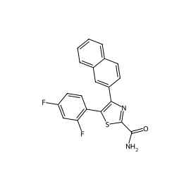 NC(=O)c1nc(-c2ccc3ccccc3c2)c(-c2ccc(F)cc2F)s1